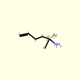 C=CCC[C@](C)(N)C(C)=O